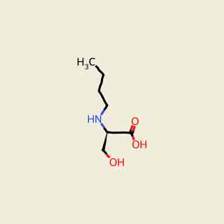 CCCCN[C@H](CO)C(=O)O